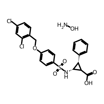 NO.O=C(O)C1[C@@H](c2ccccc2)[C@H]1NS(=O)(=O)c1ccc(OCc2ccc(Cl)cc2Cl)cc1